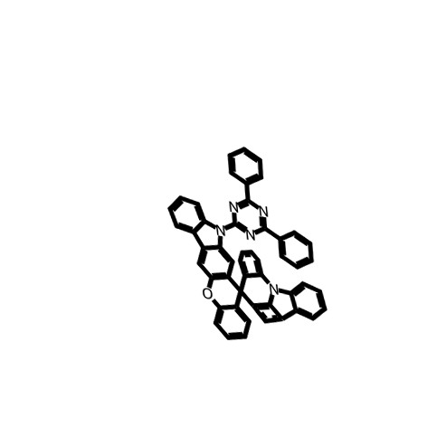 c1ccc(-c2nc(-c3ccccc3)nc(-n3c4ccccc4c4cc5c(cc43)C3(c4ccccc4O5)c4ccccc4-n4c5ccccc5c5cccc3c54)n2)cc1